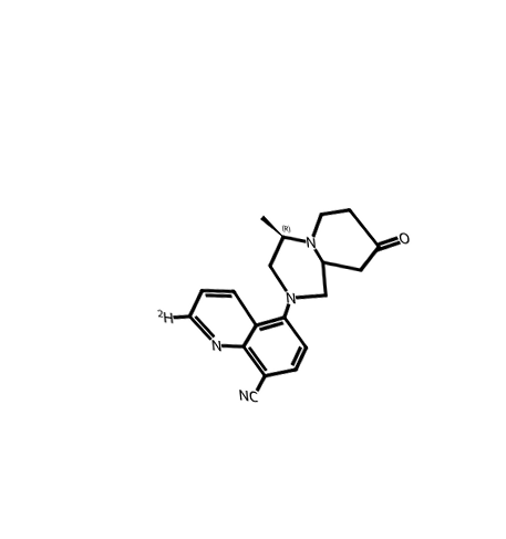 [2H]c1ccc2c(N3CC4CC(=O)CCN4[C@H](C)C3)ccc(C#N)c2n1